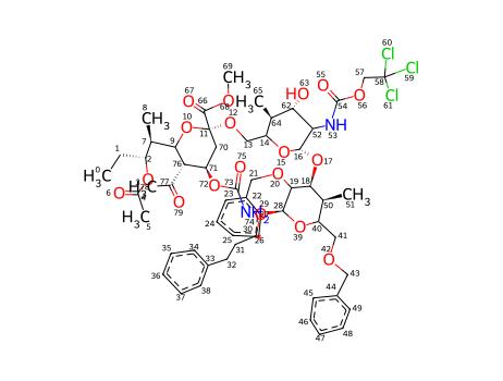 CC[C@@H](OC(C)=O)[C@@H](C)C1O[C@@](OCC2O[C@@H](O[C@@H]3C(OCc4ccccc4)[C@H](OCCCc4ccccc4)OC(COCc4ccccc4)[C@@H]3C)C(NC(=O)OCC(Cl)(Cl)Cl)[C@@H](O)[C@@H]2C)(C(=O)OC)C[C@@H](OC(N)=O)[C@@H]1C(C)=O